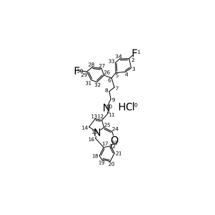 Cl.Fc1ccc(C(CCCN=CC2=CCN3Cc4ccccc4OC=C23)c2ccc(F)cc2)cc1